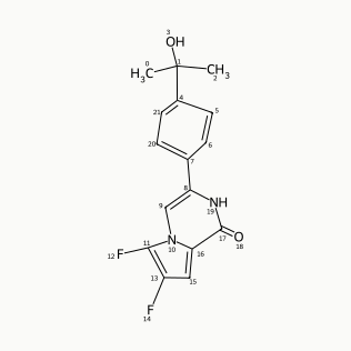 CC(C)(O)c1ccc(-c2cn3c(F)c(F)cc3c(=O)[nH]2)cc1